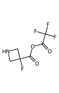 O=C(OC(=O)C1(F)CNC1)C(F)(F)F